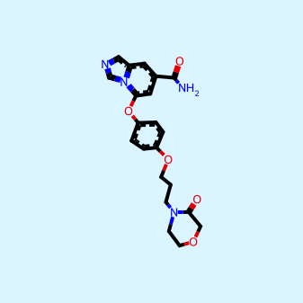 NC(=O)c1cc(Oc2ccc(OCCCN3CCOCC3=O)cc2)n2cncc2c1